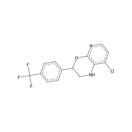 FC(F)(F)c1ccc(C2CNc3c(Cl)ccnc3O2)cc1